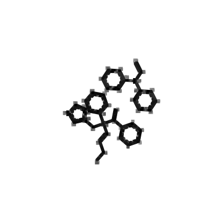 C=C(c1ccccc1)[Si](C=CCC)(Cn1ccnc1)c1ccccc1.C=CB(c1ccccc1)c1ccccc1